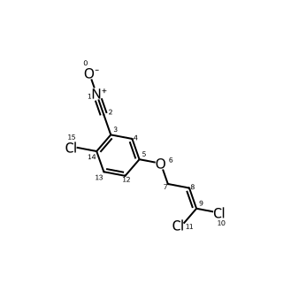 [O-][N+]#Cc1cc(OCC=C(Cl)Cl)ccc1Cl